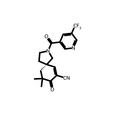 CC1(C)C[C@]2(C=C(C#N)C1=O)CCN(C(=O)c1cncc(C(F)(F)F)c1)C2